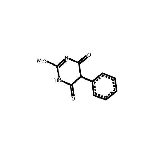 CSC1=NC(=O)C(c2ccccc2)C(=O)N1